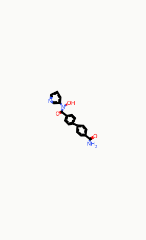 NC(=O)c1ccc(-c2ccc(C(=O)N(O)c3cccnc3)cc2)cc1